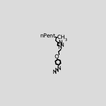 CCCCCC(C)Cc1cn(CCCOc2ccc(N=[N+]=[N-])cc2)nn1